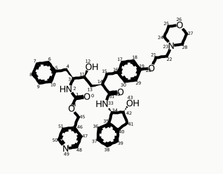 O=C(N[C@@H](Cc1ccccc1)[C@@H](O)C[C@@H](Cc1ccc(OCCN2CCOCC2)cc1)C(=O)N[C@H]1c2ccccc2C[C@H]1O)OCc1ccncc1